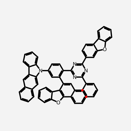 c1ccc(-c2nc(-c3ccc4c(c3)oc3ccccc34)nc(-c3ccc(-n4c5ccccc5c5cc6ccccc6cc54)cc3-c3cc4ccccc4c4oc5ccccc5c34)n2)cc1